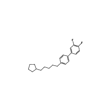 Fc1ccc(-c2ccc(CCCCCC3CCCC3)cc2)cc1F